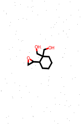 OCC1(CO)CCCCC1C1CO1